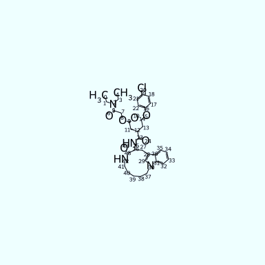 CCN(CC)C(=O)COC(=O)C[C@@H](CCOc1ccc(Cl)cc1)C(=O)NC1Cc2cn(c3ccccc23)CCCCCNC1=O